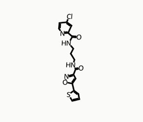 O=C(NCCCNC(=O)c1cc(-c2cccs2)on1)c1cc(Cl)ccn1